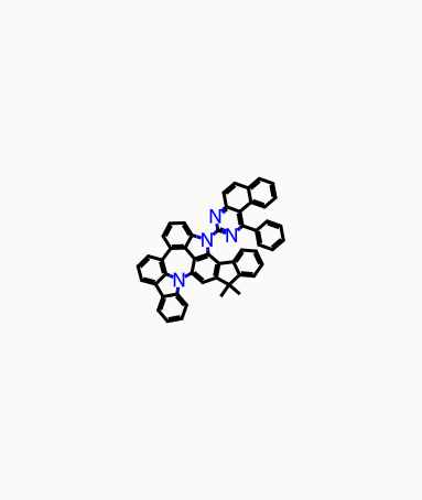 CC1(C)c2ccccc2-c2c1cc1c3c4c(cccc4n(-c4nc(-c5ccccc5)c5c(ccc6ccccc65)n4)c23)c2cccc3c4ccccc4n1c23